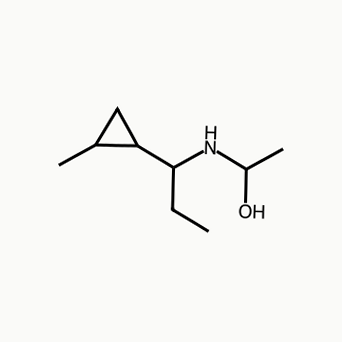 CCC(NC(C)O)C1CC1C